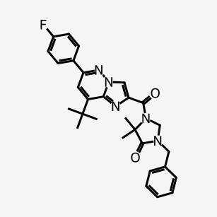 CC(C)(C)c1cc(-c2ccc(F)cc2)nn2cc(C(=O)N3CN(Cc4ccccc4)C(=O)C3(C)C)nc12